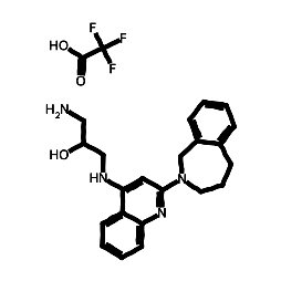 NCC(O)CNc1cc(N2CCCc3ccccc3C2)nc2ccccc12.O=C(O)C(F)(F)F